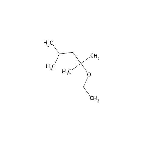 CCOC(C)(C)C[C](C)C